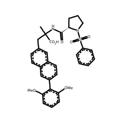 COc1cccc(OC)c1-c1ccc2cc(CC(C)(NC(=O)[C@@H]3CCCN3S(=O)(=O)c3ccccc3)C(=O)O)ccc2c1